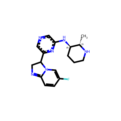 C[C@@H]1NCCC[C@H]1Nc1cncc(C2CN=C3C=CC(F)=CN32)n1